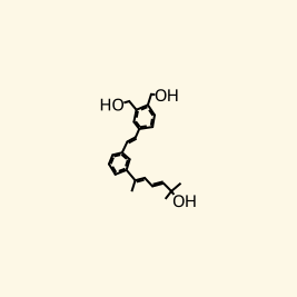 CC(=CC=CC(C)(C)O)c1cccc(C=Cc2ccc(CO)c(CO)c2)c1